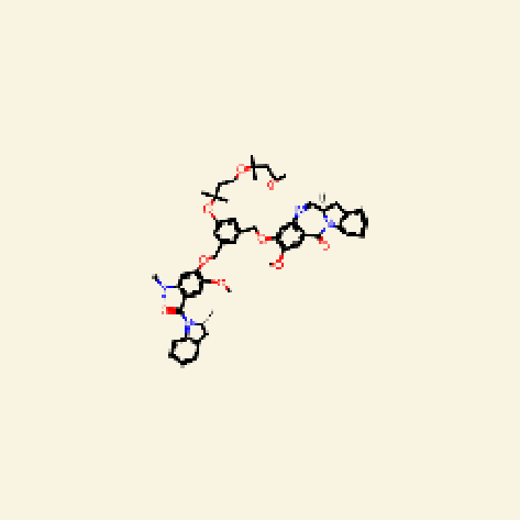 CNc1cc(OCc2cc(COc3cc4c(cc3OC)C(=O)N3c5ccccc5C[C@H]3C=N4)cc(OC(C)(C)CCOC(C)(C)CC(C)=O)c2)c(OC)cc1C(=O)N1c2ccccc2C[C@H]1C